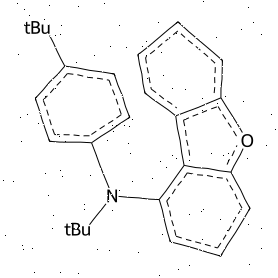 CC(C)(C)c1ccc(N(c2cccc3oc4ccccc4c23)C(C)(C)C)cc1